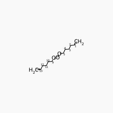 C=CCCCCOOOCCCCC=C